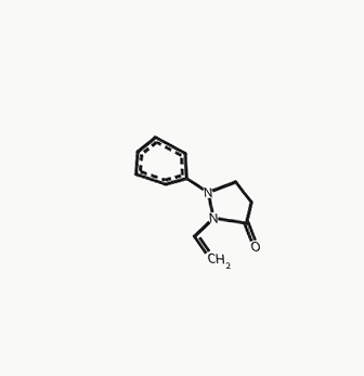 C=CN1C(=O)CCN1c1ccccc1